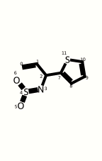 C=CC(N=S(=O)=O)c1cccs1